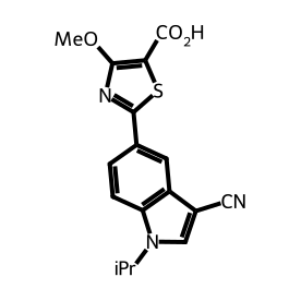 COc1nc(-c2ccc3c(c2)c(C#N)cn3C(C)C)sc1C(=O)O